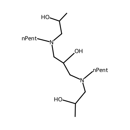 CCCCCN(CC(C)O)CC(O)CN(CCCCC)CC(C)O